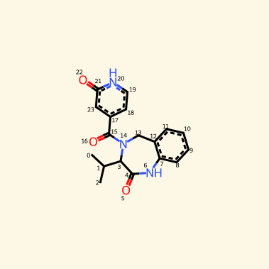 CC(C)C1C(=O)Nc2ccccc2CN1C(=O)c1cc[nH]c(=O)c1